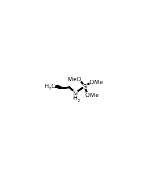 C=CC[SiH2][Si](OC)(OC)OC